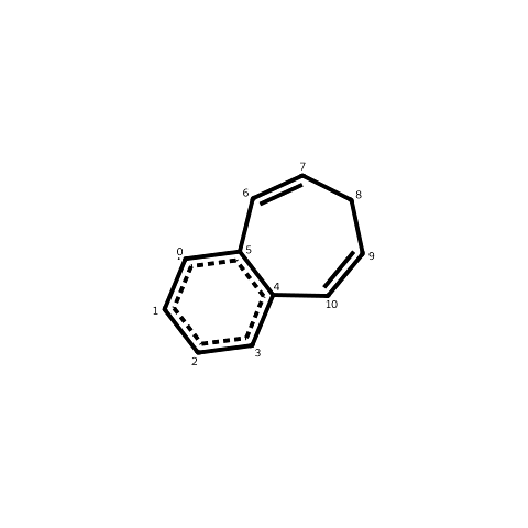 [c]1cccc2c1C=CCC=C2